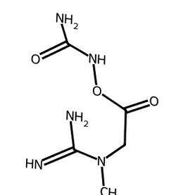 CN(CC(=O)ONC(N)=O)C(=N)N